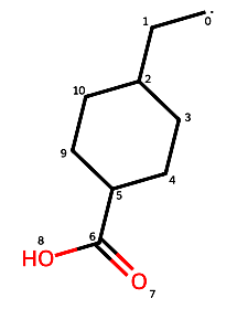 [CH2]CC1CCC(C(=O)O)CC1